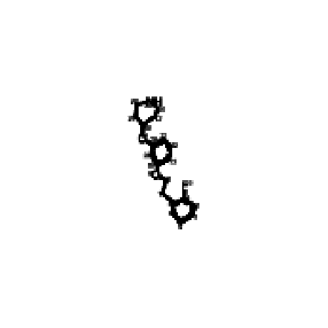 Fc1ccccc1CCOc1cccc(OC2CCNCC2)c1